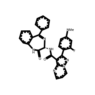 CNc1ccc(-c2nn3cccnc3c2C(=O)N[C@H]2N=C(c3ccccc3)c3ccccc3NC2=O)c(F)c1